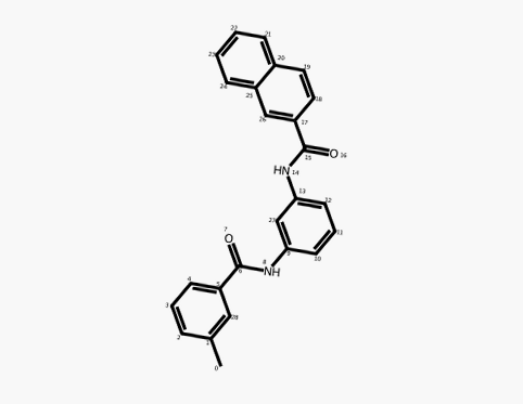 Cc1cccc(C(=O)Nc2cccc(NC(=O)c3ccc4ccccc4c3)c2)c1